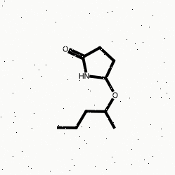 CCCC(C)OC1CCC(=O)N1